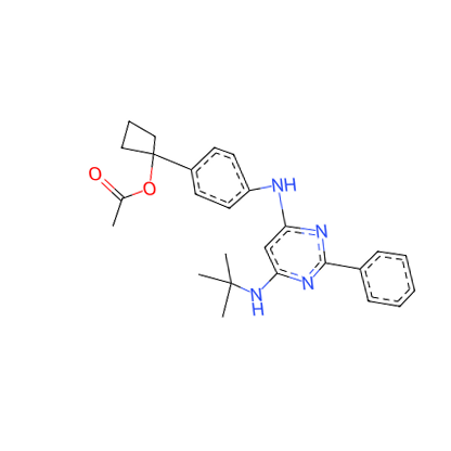 CC(=O)OC1(c2ccc(Nc3cc(NC(C)(C)C)nc(-c4ccccc4)n3)cc2)CCC1